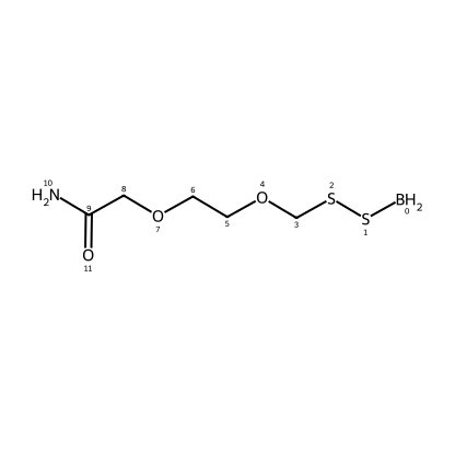 BSSCOCCOCC(N)=O